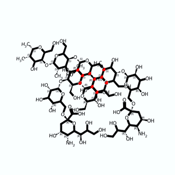 CC1C(O)[C@H](O[C@@H]2OC(CO[C@]3(C(=O)O)C[C@@H](O)[C@@H](N)C([C@H](O)C(O)CO)O3)[C@H](O)C(O)[C@@H]2O)[C@H](CO)O[C@H]1O[C@@H]1C(O)[C@H](O)C(CO)O[C@@H]1OCC1O[C@@H](O[C@@H]2C(CO)O[C@@H](O[C@@H]3C(CO)O[C@@H](C)[C@@H](C)C3O)[C@@H](C)C2O)[C@H](O)C(O[C@H]2O[C@H](CO)[C@@H](O)C(O)C2O[C@@H]2OC(CO)[C@@H](O[C@@H]3OC(CO[C@]4(C(=O)O)C[C@@H](O)[C@@H](N)C([C@H](O)C(O)CO)O4)[C@H](O)C(O)[C@@H]3O)C(O)[C@@H]2C)[C@@H]1O